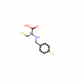 O=C(O)[C@H](CS)NCc1ccc([18F])cc1